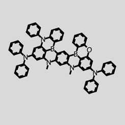 CN1c2cc3c(cc2B2c4ccccc4Oc4cc(N(c5ccccc5)c5ccccc5)cc1c42)B1c2ccccc2N(c2ccccc2)c2cc(N(c4ccccc4)c4ccccc4)cc(c21)N3C